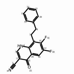 N#Cc1c[nH]c2c(CCc3ccccc3)c(F)c(F)cc2c1=O